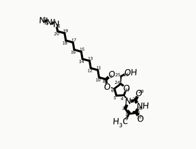 Cc1cn([C@H]2C[C@H](OC(=O)CCCCCCCCCCCN=[N+]=[N-])[C@@H](CO)O2)c(=O)[nH]c1=O